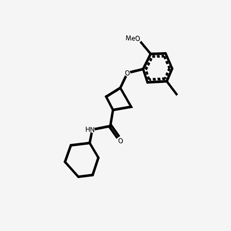 COc1ccc(C)cc1OC1CC(C(=O)NC2CCCCC2)C1